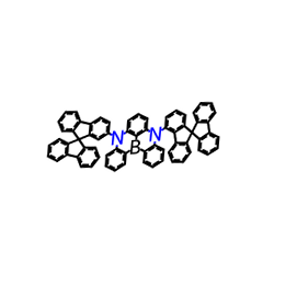 c1ccc2c(c1)B1c3ccccc3N(c3cccc4c3-c3ccccc3C43c4ccccc4-c4ccccc43)c3cccc(c31)N2c1ccc2c(c1)C1(c3ccccc3-c3ccccc31)c1ccccc1-2